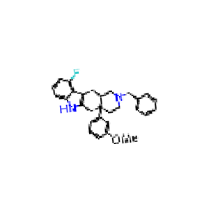 COc1cccc(C23CCN(Cc4ccccc4)CC2Cc2c([nH]c4cccc(F)c24)C3)c1